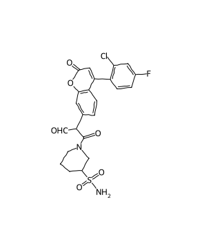 NS(=O)(=O)C1CCCN(C(=O)C(C=O)c2ccc3c(-c4ccc(F)cc4Cl)cc(=O)oc3c2)C1